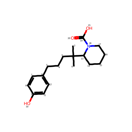 CC(C)(CCCc1ccc(O)cc1)C1CCCCN1C(=O)O